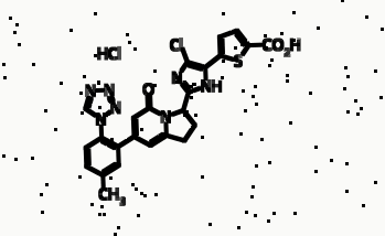 Cc1ccc(-n2cnnn2)c(-c2cc3n(c(=O)c2)C(c2nc(Cl)c(-c4ccc(C(=O)O)s4)[nH]2)CC3)c1.Cl